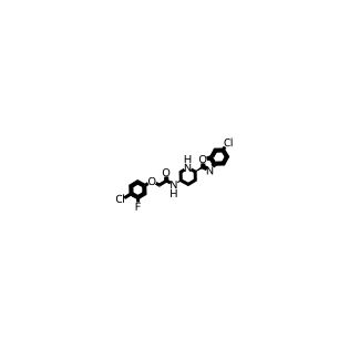 O=C(COc1ccc(Cl)c(F)c1)N[C@H]1CC[C@H](c2nc3ccc(Cl)cc3o2)NC1